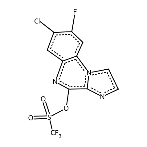 O=S(=O)(Oc1nc2cc(Cl)c(F)cc2n2ccnc12)C(F)(F)F